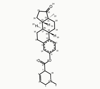 CN1CC=CC(C(=O)Oc2ccc3c(c2)CC[C@@H]2[C@@H]3CC[C@]3(C)C(=O)CC[C@@H]23)C1